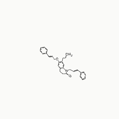 C=CCc1cc2c(cc1OCC=Cc1ccccc1)CCC(=O)N2CC=Cc1ccccc1